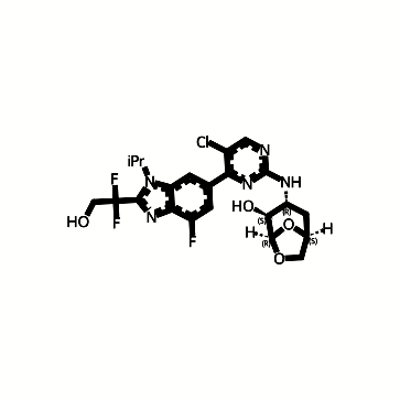 CC(C)n1c(C(F)(F)CO)nc2c(F)cc(-c3nc(N[C@@H]4C[C@H]5CO[C@H](O5)[C@H]4O)ncc3Cl)cc21